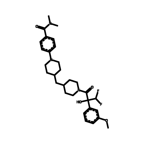 COc1cccc(C(O)(C(=O)N2CCC(CC3CCN(c4ccc(C(=O)N(C)C)cc4)CC3)CC2)C(F)F)c1